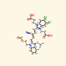 CC(C)CN1\C(=C/C=C(C#N)/C=C/c2n(CCC(=O)O)c3cc(Cl)c(Cl)cc3[n+]2CCC(=O)O)N(CCOC=O)c2ccccc21